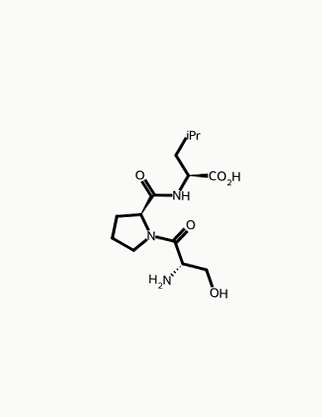 CC(C)C[C@H](NC(=O)[C@@H]1CCCN1C(=O)[C@@H](N)CO)C(=O)O